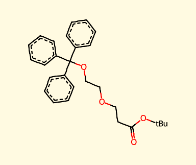 CC(C)(C)OC(=O)CCOCCOC(c1ccccc1)(c1ccccc1)c1ccccc1